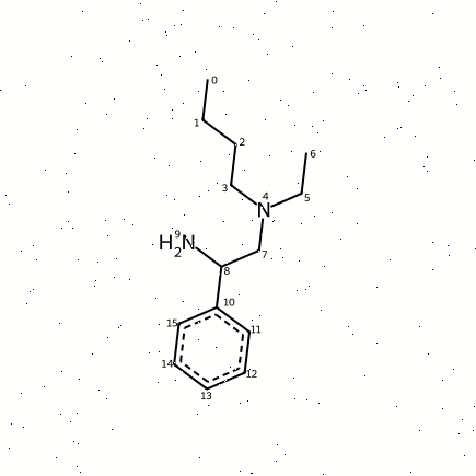 CCCCN(CC)CC(N)c1ccccc1